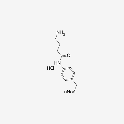 CCCCCCCCCCc1ccc(NC(=O)CCCN)cc1.Cl